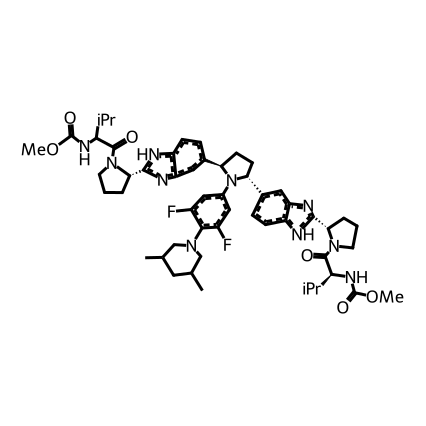 COC(=O)NC(C(=O)N1CCC[C@H]1c1nc2cc([C@H]3CC[C@H](c4ccc5[nH]c([C@@H]6CCCN6C(=O)[C@@H](NC(=O)OC)C(C)C)nc5c4)N3c3cc(F)c(N4CC(C)CC(C)C4)c(F)c3)ccc2[nH]1)C(C)C